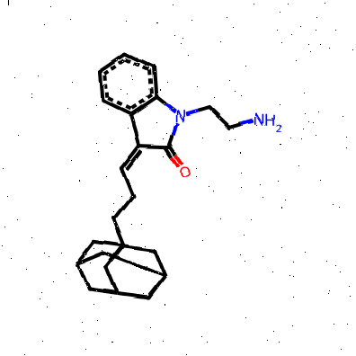 NCCN1C(=O)C(=CCCC23CC4CC(CC(C4)C2)C3)c2ccccc21